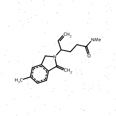 C=CC(CCC(=O)NC)N1Cc2cc(C)ccc2C1=C